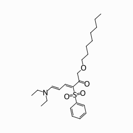 CCCCCCCCOCC(=O)/C(=C/C=C/N(CC)CC)S(=O)(=O)c1ccccc1